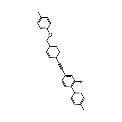 Cc1ccc(OCC2C=CC(C#Cc3ccc(-c4ccc(C)cc4)c(F)c3)CC2)cc1